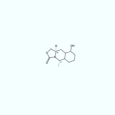 C[C@H]1C2CCCC(O)C2C[C@@H]2COC(=O)N21